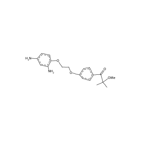 COC(C)(C)C(=O)c1ccc(OCCOc2ccc(N)cc2N)cc1